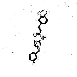 O=C(/C=C/c1ccc2c(c1)OCO2)Nc1cn(Cc2cccc(Cl)c2)cn1